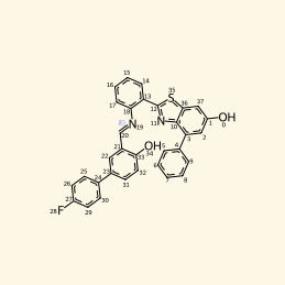 Oc1cc(-c2ccccc2)c2nc(-c3ccccc3/N=C/c3cc(-c4ccc(F)cc4)ccc3O)sc2c1